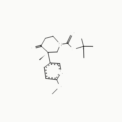 COc1ccc([C@@]2(C)CN(C(=O)OC(C)(C)C)CCC2=O)cn1